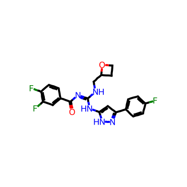 O=C(/N=C(/NCC1CCO1)Nc1cc(-c2ccc(F)cc2)n[nH]1)c1ccc(F)c(F)c1